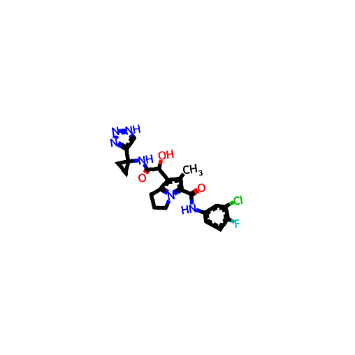 Cc1c(C(O)C(=O)NC2(c3c[nH]nn3)CC2)c2n(c1C(=O)Nc1ccc(F)c(Cl)c1)CCC2